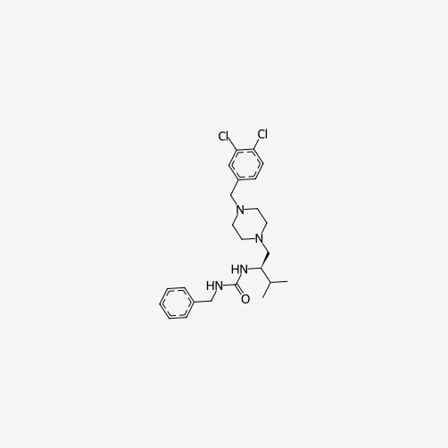 CC(C)[C@H](CN1CCN(Cc2ccc(Cl)c(Cl)c2)CC1)NC(=O)NCc1ccccc1